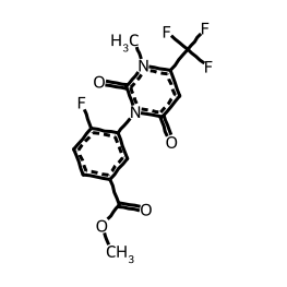 COC(=O)c1ccc(F)c(-n2c(=O)cc(C(F)(F)F)n(C)c2=O)c1